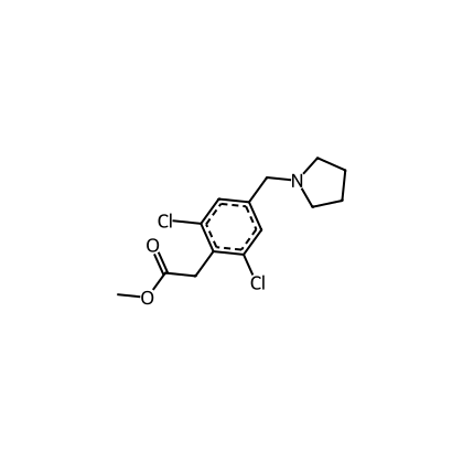 COC(=O)Cc1c(Cl)cc(CN2CCCC2)cc1Cl